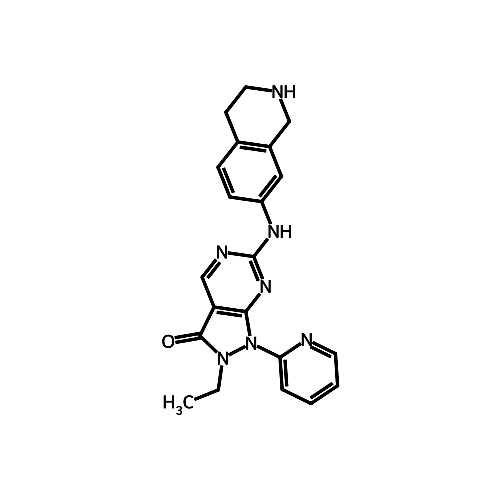 CCn1c(=O)c2cnc(Nc3ccc4c(c3)CNCC4)nc2n1-c1ccccn1